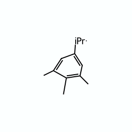 C[C](C)c1cc(C)c(C)c(C)c1